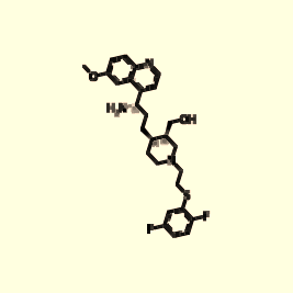 COc1ccc2nccc([C@@H](N)CC[C@@H]3CCN(CCSc4cc(F)ccc4F)C[C@@H]3CO)c2c1